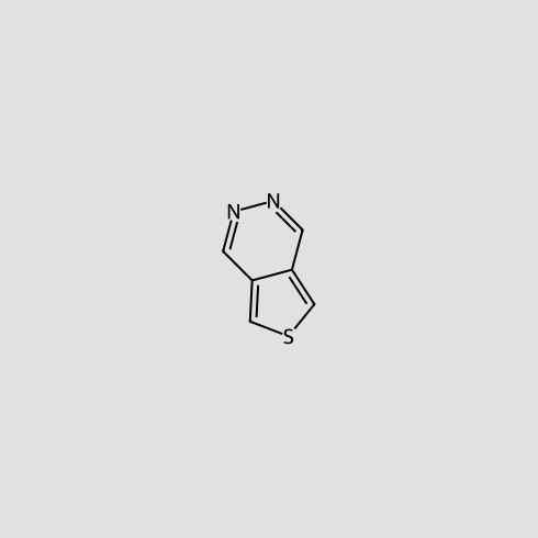 c1nncc2cscc12